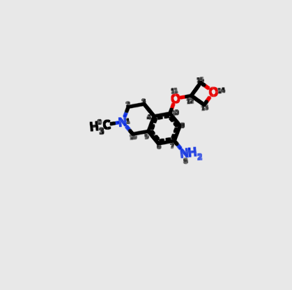 CN1CCc2c(cc(N)cc2OC2COC2)C1